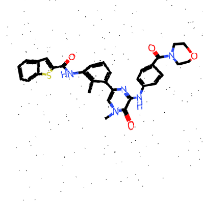 Cc1c(NC(=O)c2cc3ccccc3s2)cccc1-c1cn(C)c(=O)c(Nc2ccc(C(=O)N3CCOCC3)cc2)n1